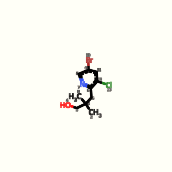 CC(C)(CO)Cc1ncc(Br)cc1Cl